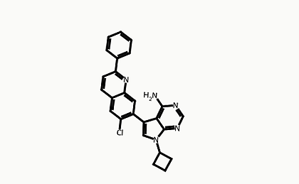 Nc1ncnc2c1c(-c1cc3nc(-c4ccccc4)ccc3cc1Cl)cn2C1CCC1